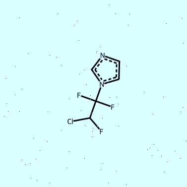 FC(Cl)C(F)(F)n1ccnc1